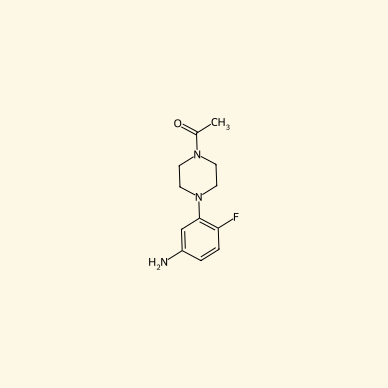 CC(=O)N1CCN(c2cc(N)ccc2F)CC1